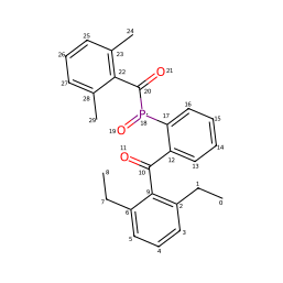 CCc1cccc(CC)c1C(=O)c1ccccc1[P](=O)C(=O)c1c(C)cccc1C